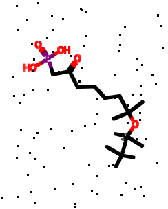 CC(C)(CCCCC(=O)CP(=O)(O)O)O[Si](C)(C)C(C)(C)C